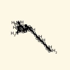 CCC(=O)N[C@@H](CCCCN)C(=O)N[C@@H](CS)C(=O)N[C@@H](CCCNC(=N)N)C(=O)NCC(=O)N[C@@H](CC(=O)O)C(=O)N[C@@H](CS)C(=O)N[C@@H](Cc1ccccc1)C(=O)N[C@@H](CSC)C(=O)NCCOCCOCCOCCNC(=O)COCC(=O)NCCOCCOCCOCCNC(=O)COCC(N)=O